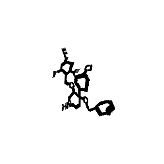 Fc1cc(F)c(COC2CNCCC2(OCc2ccccc2)c2ccc(Cl)cc2)c(F)c1